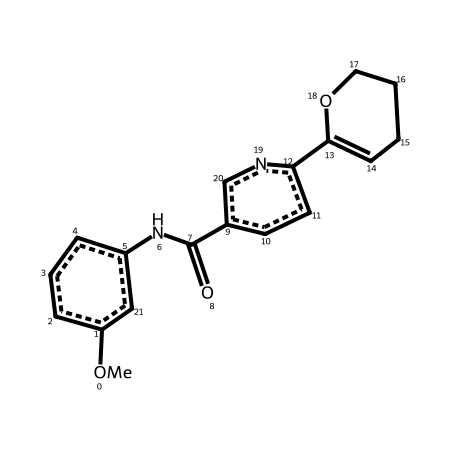 COc1cccc(NC(=O)c2ccc(C3=CCCCO3)nc2)c1